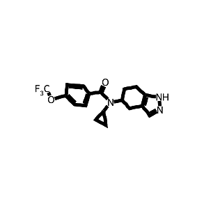 O=C(c1ccc(OC(F)(F)F)cc1)N(C1CC1)C1CCc2[nH]ncc2C1